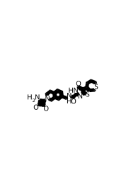 Nc1c(N2CCc3ccc(CNC(=O)c4nc5sc6c(c5c(=O)[nH]4)CCCSC6)cc3C2)c(=O)c1=O